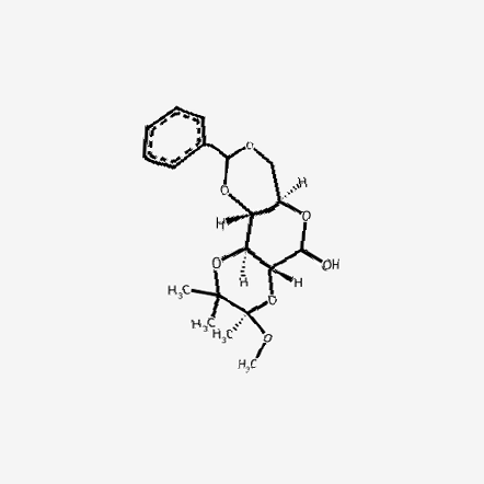 CO[C@]1(C)O[C@H]2C(O)O[C@@H]3COC(c4ccccc4)O[C@H]3[C@@H]2OC1(C)C